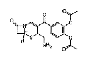 CC(=O)Oc1ccc(C(=O)C2=CN3C(=O)C[C@H]3SC2CN)cc1OC(C)=O